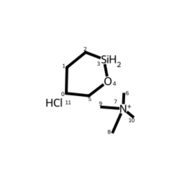 C1CC[SiH2]OC1.C[N+](C)(C)C.Cl